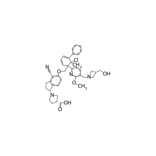 COc1nc(C2(COc3ccc4c(c3C#N)CC[C@H]4N3CC[C@@H](C(=O)O)C3)C=CC=C(c3ccccc3)C2(C)Cl)ccc1CN1CC(CO)C1